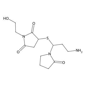 NCCC(SC1CC(=O)N(CCO)C1=O)N1CCCC1=O